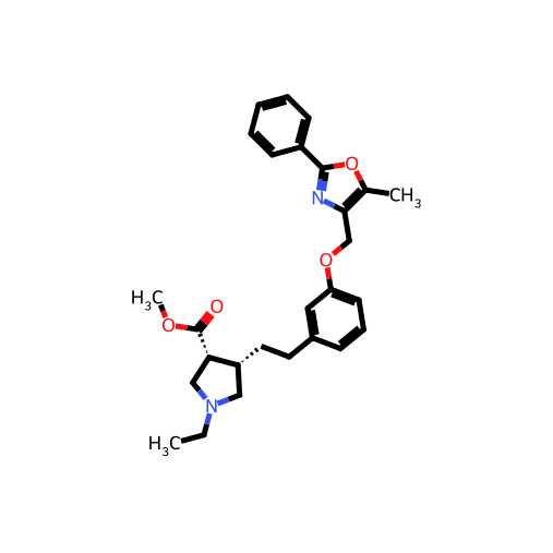 CCN1C[C@@H](CCc2cccc(OCc3nc(-c4ccccc4)oc3C)c2)[C@@H](C(=O)OC)C1